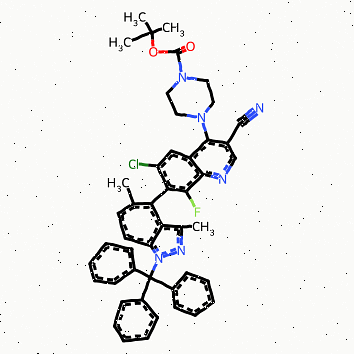 Cc1ccc2c(c(C)nn2C(c2ccccc2)(c2ccccc2)c2ccccc2)c1-c1c(Cl)cc2c(N3CCN(C(=O)OC(C)(C)C)CC3)c(C#N)cnc2c1F